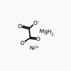 O=C([O-])C(=O)[O-].[MgH2].[Ni+2]